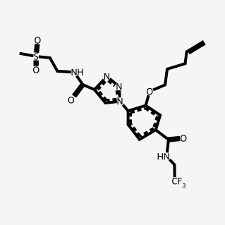 C=CCCCOc1cc(C(=O)NCC(F)(F)F)ccc1-n1cc(C(=O)NCCS(C)(=O)=O)nn1